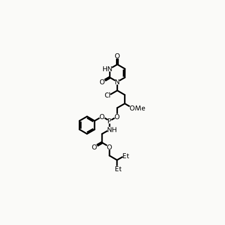 CCC(CC)COC(=O)CNP(OCC(CC(Cl)n1ccc(=O)[nH]c1=O)OC)Oc1ccccc1